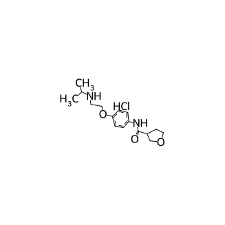 CC(C)NCCOc1ccc(NC(=O)C2CCOC2)cc1.Cl